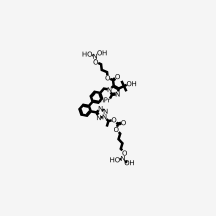 CCCc1nc(C(C)(C)O)c(C(=O)OCCCON(O)O)n1Cc1ccc(-c2ccccc2-c2nnn(C(C)OC(=O)OCCCCON(O)O)n2)cc1